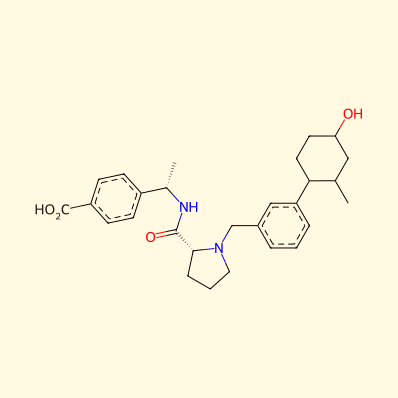 CC1CC(O)CCC1c1cccc(CN2CCC[C@@H]2C(=O)N[C@@H](C)c2ccc(C(=O)O)cc2)c1